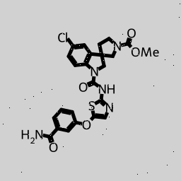 COC(=O)N1CCC2(C1)CN(C(=O)Nc1ncc(Oc3cccc(C(N)=O)c3)s1)c1ccc(Cl)cc12